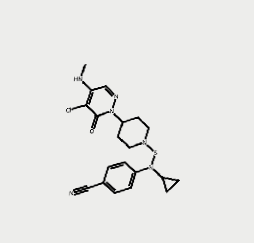 CNc1cnn(C2CCN(SN(c3ccc(C#N)cc3)C3CC3)CC2)c(=O)c1Cl